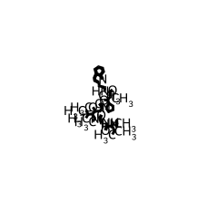 CCC(C)C(C(CC(=O)N1CCCC1C(OC)C(C)C(=O)NCCc1ccc2ccccc2n1)OC)N(C)C(=O)CNC(=O)C(NC)C(C)C